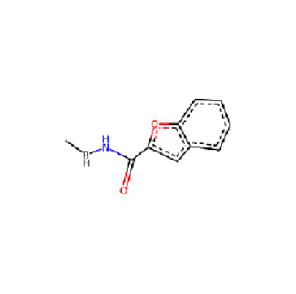 CBNC(=O)c1cc2ccccc2o1